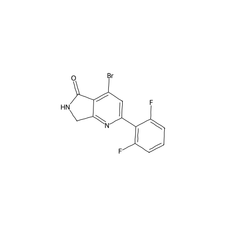 O=C1NCc2nc(-c3c(F)cccc3F)cc(Br)c21